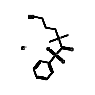 C[N+](C)(CCCO)C(=O)S(=O)(=O)c1ccccc1.[Cl-]